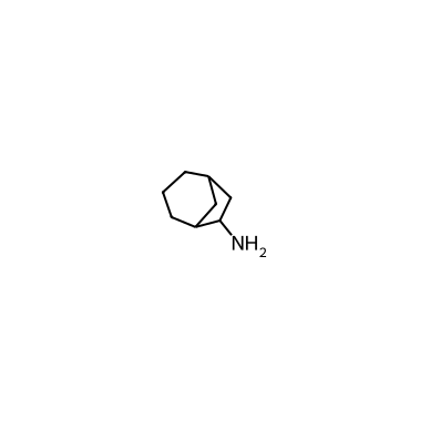 NC1CC2CCCC1C2